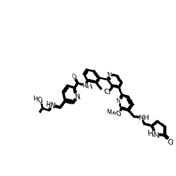 COc1nc(-c2ccnc(-c3cccc(NC(=O)c4ccc(CNCC(C)O)cn4)c3C)c2Cl)ccc1CNCC1CCC(=O)N1